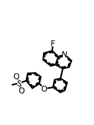 CS(=O)(=O)c1cccc(Oc2cccc(-c3ccnc4c(F)cccc34)c2)c1